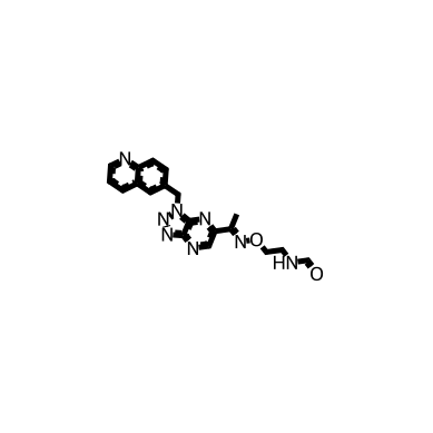 C/C(=N\OCCNC=O)c1cnc2nnn(Cc3ccc4ncccc4c3)c2n1